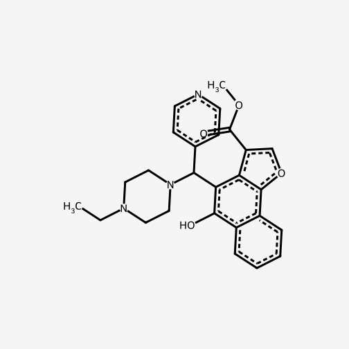 CCN1CCN(C(c2ccncc2)c2c(O)c3ccccc3c3occ(C(=O)OC)c23)CC1